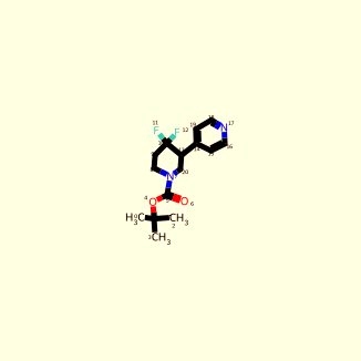 CC(C)(C)OC(=O)N1CCC(F)(F)C(c2ccncc2)C1